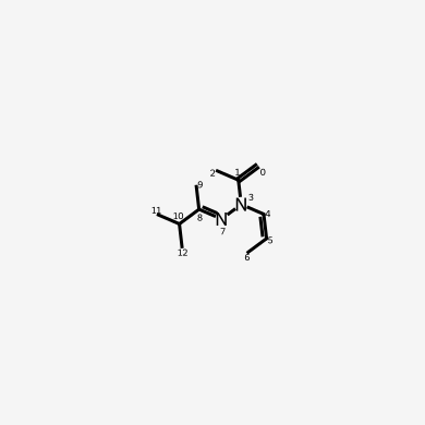 C=C(C)N(/C=C\C)/N=C(\C)C(C)C